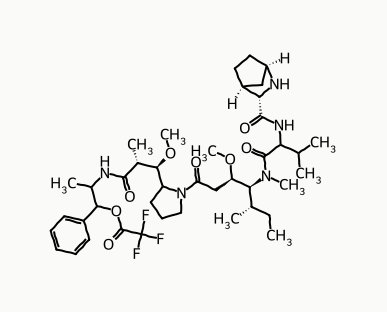 CC[C@H](C)[C@@H]([C@@H](CC(=O)N1CCCC1[C@H](OC)[C@@H](C)C(=O)NC(C)C(OC(=O)C(F)(F)F)c1ccccc1)OC)N(C)C(=O)C(NC(=O)[C@H]1N[C@@H]2CC[C@H]1C2)C(C)C